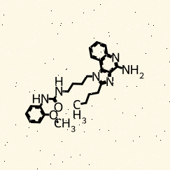 CCCCc1nc2c(N)nc3ccccc3c2n1CCCCNC(=O)Nc1ccccc1OC